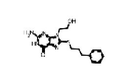 Nc1nc2c(nc(SCCCc3ccccc3)n2CCO)c(=O)[nH]1